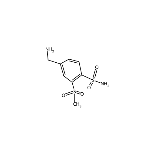 CS(=O)(=O)c1cc(CN)ccc1S(N)(=O)=O